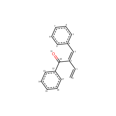 C=CC(=Cc1ccccc1)C(=O)c1ccccc1